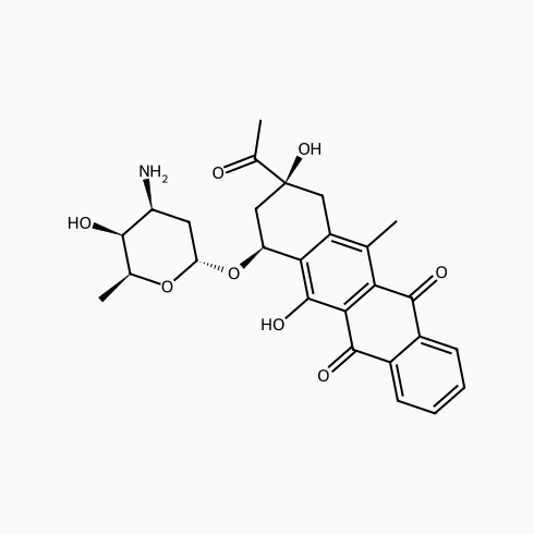 CC(=O)[C@]1(O)Cc2c(C)c3c(c(O)c2[C@@H](O[C@H]2C[C@H](N)[C@H](O)[C@H](C)O2)C1)C(=O)c1ccccc1C3=O